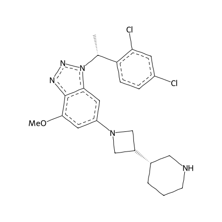 COc1cc(N2CC([C@H]3CCCNC3)C2)cc2c1nnn2[C@H](C)c1ccc(Cl)cc1Cl